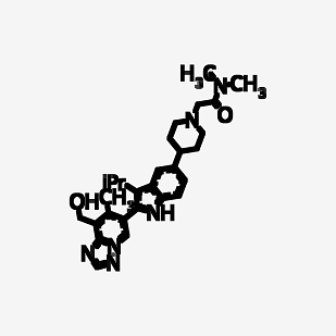 Cc1c(-c2[nH]c3ccc(C4CCN(CC(=O)N(C)C)CC4)cc3c2C(C)C)cn2ncnc2c1CO